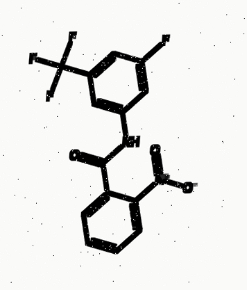 O=C(Nc1cc(F)cc(C(F)(F)F)c1)c1ccccc1[N+](=O)[O-]